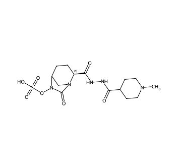 CN1CCC(C(=O)NNC(=O)[C@@H]2CCC3CN2C(=O)N3OS(=O)(=O)O)CC1